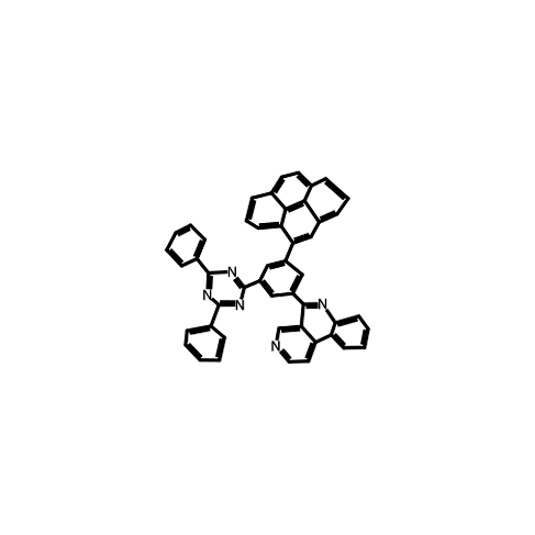 c1ccc(-c2nc(-c3ccccc3)nc(-c3cc(-c4nc5ccccc5c5ccncc45)cc(-c4cc5cccc6ccc7cccc4c7c65)c3)n2)cc1